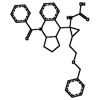 O=C(O)NC1(C2c3ccccc3N(C(=O)c3ccccc3)C3CCCC32)CC1CCOCc1ccccc1